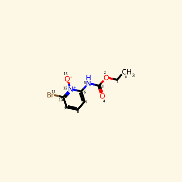 CCOC(=O)Nc1cccc(Br)[n+]1[O-]